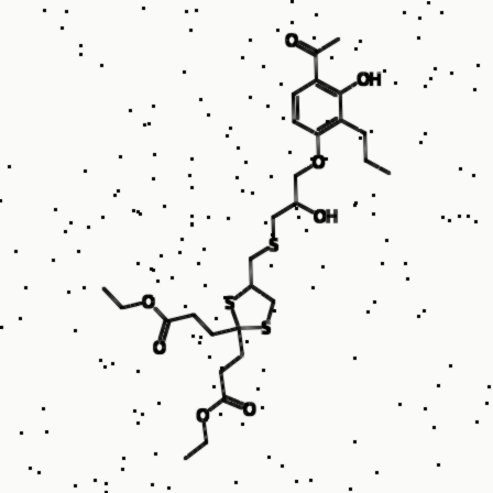 CCCc1c(OCC(O)CSCC2CSC(CCC(=O)OCC)(CCC(=O)OCC)S2)ccc(C(C)=O)c1O